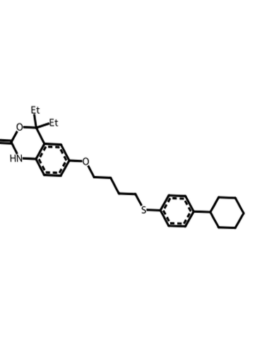 CCC1(CC)OC(=O)Nc2ccc(OCCCCSc3ccc(C4CCCCC4)cc3)cc21